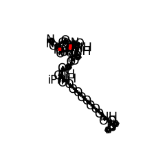 CC(C)[C@H](NC(=O)CCOCCOCCOCCOCCOCCOCCOCCOCCNC(=O)CCC(=O)N1Cc2ccccc2C#Cc2ccccc21)C(=O)N[C@@H](C)C(=O)Nc1ccc(COC(=O)N(C)Cc2ccccc2C(=O)Nc2nc3c(ncn3[C@@H]3O[C@@H]4CO[PH](=O)O[C@H]5C[C@H](Oc6ccncn6)CC5CO[PH](=O)O[C@@H]3[C@@H]4O)c(=O)[nH]2)cc1